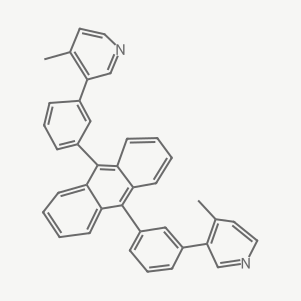 Cc1ccncc1-c1cccc(-c2c3ccccc3c(-c3cccc(-c4cnccc4C)c3)c3ccccc23)c1